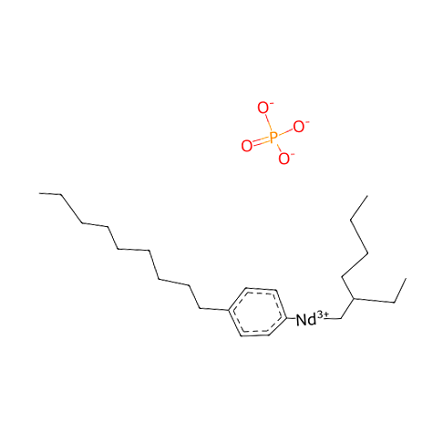 CCCCCCCCCc1cc[c]([Nd+3][CH2]C(CC)CCCC)cc1.O=P([O-])([O-])[O-]